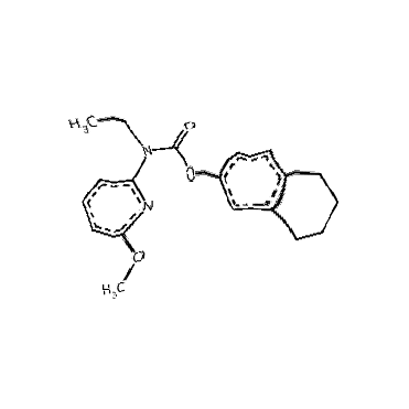 CCN(C(=O)Oc1ccc2c(c1)CCCC2)c1cccc(OC)n1